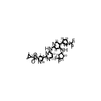 O=S(=O)(C1CC1)n1cc(-c2nccc(Nc3cc(NC4CCC(F)(F)C4)c(-c4ccn(C(F)F)n4)cn3)n2)cn1